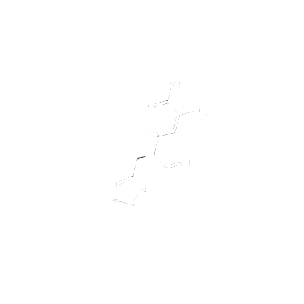 C=N[C@@H](Cc1c[nH]cn1)C(=O)C=C(C)C(N)=O